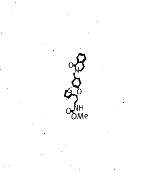 COC(=O)NCCC(Oc1ccc(CN2CCc3ccccc3C2=O)cc1)c1cccs1